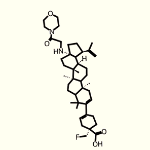 C=C(C)[C@@H]1CC[C@]2(NCC(=O)N3CCOCC3)CC[C@]3(C)[C@H](CCC4[C@@]5(C)CC=C(C6=CC[C@](CF)(C(=O)O)CC6)C(C)(C)C5CC[C@]43C)C12